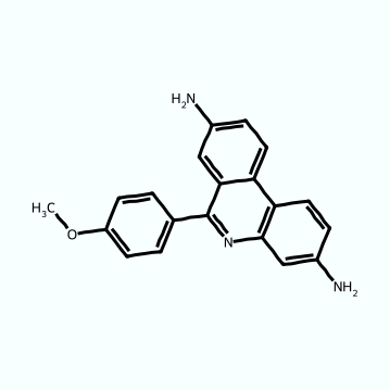 COc1ccc(-c2nc3cc(N)ccc3c3ccc(N)cc23)cc1